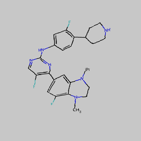 CC(C)N1CCN(C)c2c(F)cc(-c3nc(Nc4ccc(C5CCNCC5)c(F)c4)ncc3F)cc21